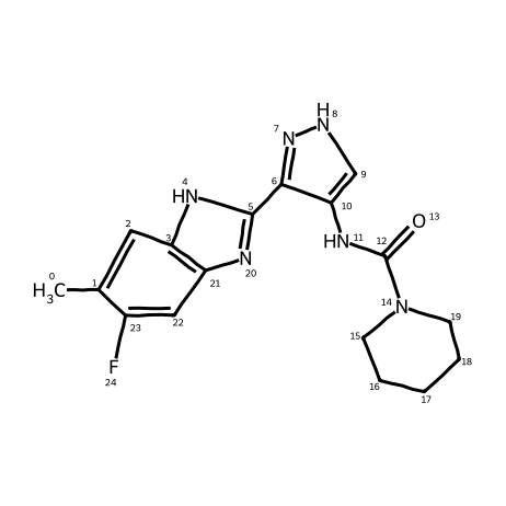 Cc1cc2[nH]c(-c3n[nH]cc3NC(=O)N3CCCCC3)nc2cc1F